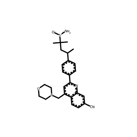 CC(CC(C)(C)[S+](N)[O-])c1ccc(-c2cc(CN3CCOCC3)c3ccc(C#N)cc3n2)cc1